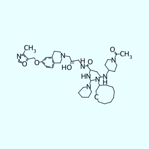 CC(=O)N1CCC(NC2CC(C(=O)NC[C@H](O)CN3CCc4cc(OCc5ocnc5C)ccc4C3)NC(N3CCCCC3)N2C2CCCCCCCCC2)CC1